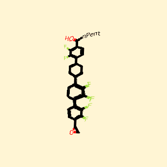 CCCCCC(O)c1ccc(C2=CCC(c3ccc(-c4ccc(C5CO5)c(F)c4F)c(F)c3F)CC2)c(F)c1F